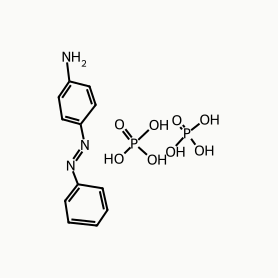 Nc1ccc(/N=N/c2ccccc2)cc1.O=P(O)(O)O.O=P(O)(O)O